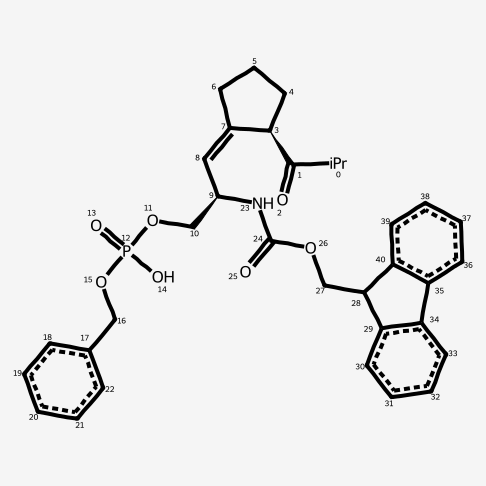 CC(C)C(=O)[C@@H]1CCC/C1=C/[C@H](COP(=O)(O)OCc1ccccc1)NC(=O)OCC1c2ccccc2-c2ccccc21